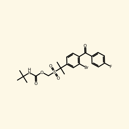 CC(C)(C)NC(=O)OCS(=O)(=O)C(C)(C)c1ccc(C(=O)c2ccc(F)cc2)c(Br)c1